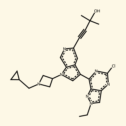 CCn1cc2nc(Cl)nc(-c3cn(C4CN(CC5CC5)C4)c4cnc(C#CC(C)(C)O)cc34)c2n1